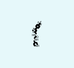 O=C(CNCC1CCNCC1)NCc1cc(-c2ccc(C(F)(F)F)cc2)ncn1